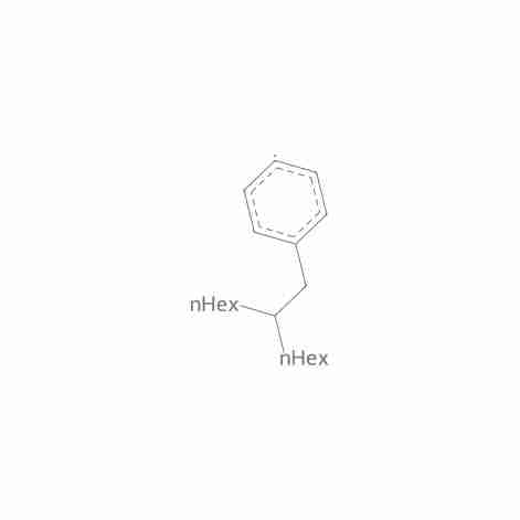 CCCCCCC(CCCCCC)Cc1cc[c]cc1